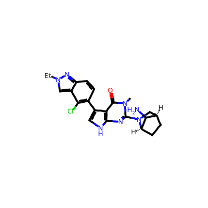 CCn1cc2c(Cl)c(-c3c[nH]c4nc(N5C[C@H]6CC[C@@H]5C6N)n(C)c(=O)c34)ccc2n1